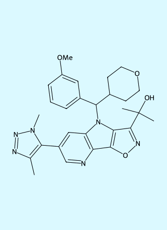 COc1cccc(C(C2CCOCC2)n2c3cc(-c4c(C)nnn4C)cnc3c3onc(C(C)(C)O)c32)c1